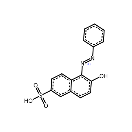 O=S(=O)(O)c1ccc2c(/N=N/c3ccccc3)c(O)ccc2c1